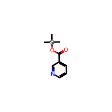 C[Si](C)(C)OC(=O)c1cccnc1